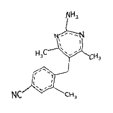 Cc1cc(C#N)ccc1Cc1c(C)nc(N)nc1C